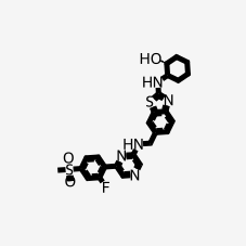 CS(=O)(=O)c1ccc(-c2cncc(NCc3ccc4nc(NC5CCCC[C@H]5O)sc4c3)n2)c(F)c1